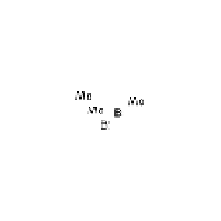 [B].[B].[Mo].[Mo].[Mo]